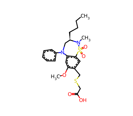 CCCC[C@@H]1CN(c2ccccc2)c2cc(OC)c(CSCC(=O)O)cc2S(=O)(=O)N1C